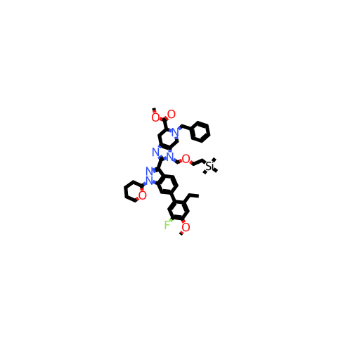 CCc1cc(OC)c(F)cc1-c1ccc2c(-c3nc4c(n3COCC[Si](C)(C)C)CN(Cc3ccccc3)C(C(=O)OC)C4)nn(C3CCCCO3)c2c1